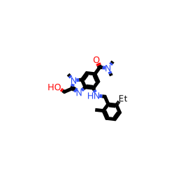 CCc1cccc(C)c1CNc1cc(C(=O)N(C)C)cc2c1nc(CO)n2C